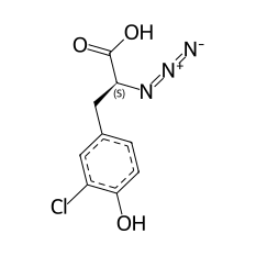 [N-]=[N+]=N[C@@H](Cc1ccc(O)c(Cl)c1)C(=O)O